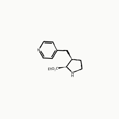 CCOC(=O)[C@@H]1NCC[C@@H]1Cc1ccncc1